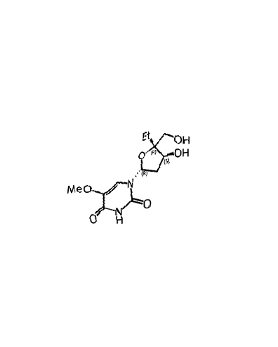 CC[C@]1(CO)O[C@@H](n2cc(OC)c(=O)[nH]c2=O)C[C@@H]1O